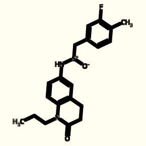 CCCN1C(=O)CCc2cc(N[S+]([O-])Cc3ccc(C)c(F)c3)ccc21